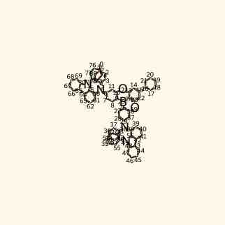 Cc1ccc(N(c2ccc3c(c2)Oc2cc(-c4ccccc4)cc4c2B3c2ccc(N(c3ccc(C)cc3)c3cccc5c6ccccc6n(-c6ccccc6)c35)cc2O4)c2cccc3c4ccccc4n(-c4ccccc4)c23)cc1